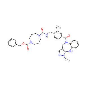 Cc1cc(C(=O)N2Cc3cnn(C)c3Nc3ccccc32)ccc1CNC(=O)N1CCCN(C(=O)OCc2ccccc2)CCC1